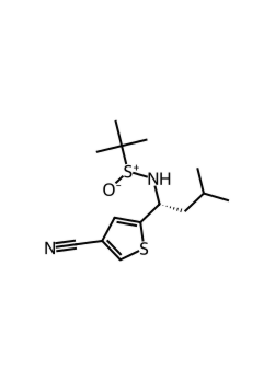 CC(C)C[C@@H](N[S+]([O-])C(C)(C)C)c1cc(C#N)cs1